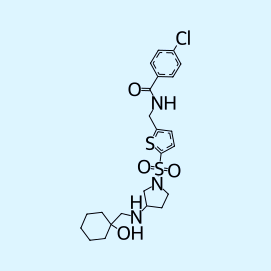 O=C(NCc1ccc(S(=O)(=O)N2CCC(NCC3(O)CCCCC3)C2)s1)c1ccc(Cl)cc1